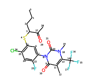 CCCC(Sc1cc(-n2c(=O)c(C)c(C(F)(F)F)n(C)c2=O)c(F)cc1Cl)C(C)=O